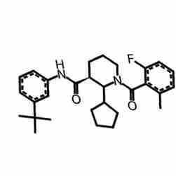 Cc1cccc(F)c1C(=O)N1CCC[C@H](C(=O)Nc2cccc(C(C)(C)C)c2)C1C1CCCC1